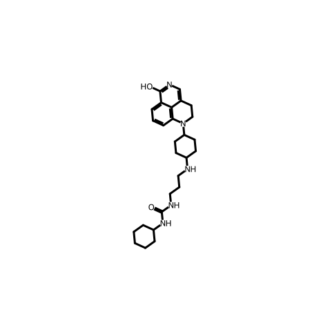 O=C(NCCCNC1CCC(N2CCc3cnc(O)c4cccc2c34)CC1)NC1CCCCC1